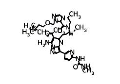 CCCN(C(=O)c1ncnn1COCC[Si](C)(C)C)[C@H](CC)CCc1nc2c(-c3ccc(NC(=O)NC)nc3)cnn2c(N)c1C(C)=O